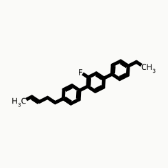 C/C=C/CCc1ccc(-c2ccc(-c3ccc(CC)cc3)cc2F)cc1